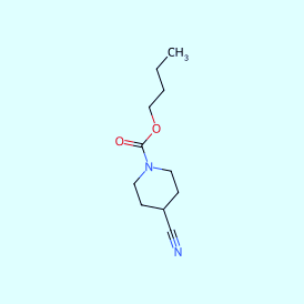 CCCCOC(=O)N1CCC(C#N)CC1